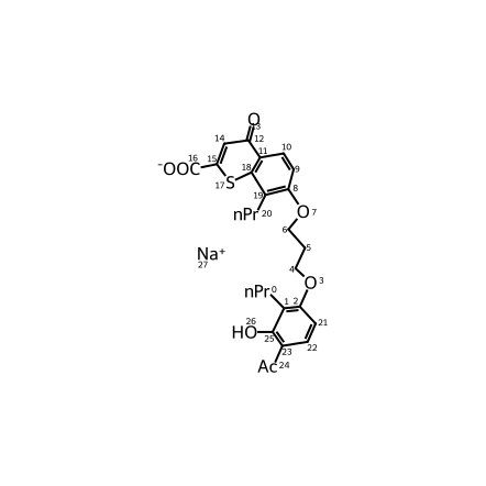 CCCc1c(OCCCOc2ccc3c(=O)cc(C(=O)[O-])sc3c2CCC)ccc(C(C)=O)c1O.[Na+]